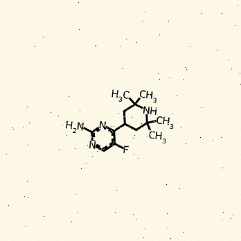 CC1(C)CC(c2nc(N)ncc2F)CC(C)(C)N1